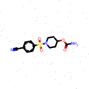 N#Cc1ccc(S(=O)(=O)N2CCC(OC(N)=O)CC2)cc1